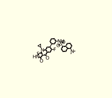 CN(C)c1cccc2c(S(=O)(=O)Nc3cccc(-c4cc5c(cc4F)c(=O)c4c(=O)[nH]sc4n5C4CC4)c3)cccc12